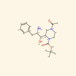 CC(=O)N1CCN(C(=O)OC(C)(C)C)C(C(O)C(N)Cc2ccccc2)C1